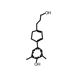 Cc1cc(C2=CC=C(CCCO)CC2)cc(C)c1O